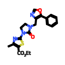 CCOC(=O)c1sc(N2CCN(Cc3ncoc3-c3ccccc3)C2=O)nc1C